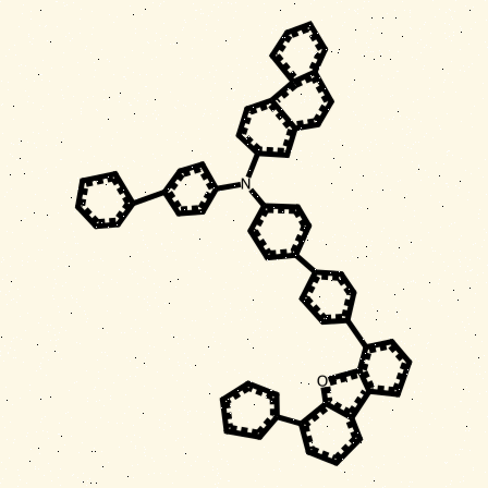 c1ccc(-c2ccc(N(c3ccc(-c4ccc(-c5cccc6c5oc5c(-c7ccccc7)cccc56)cc4)cc3)c3ccc4c(ccc5ccccc54)c3)cc2)cc1